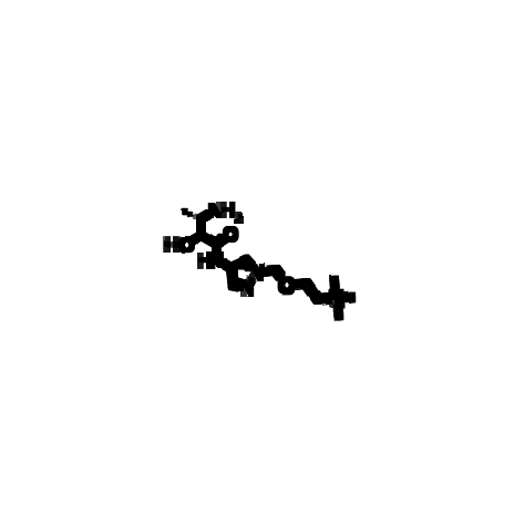 C[C@H](N)C(O)C(=O)Nc1cnn(COCC[Si](C)(C)C)c1